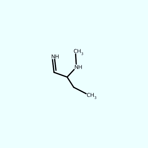 CCC(C=N)NC